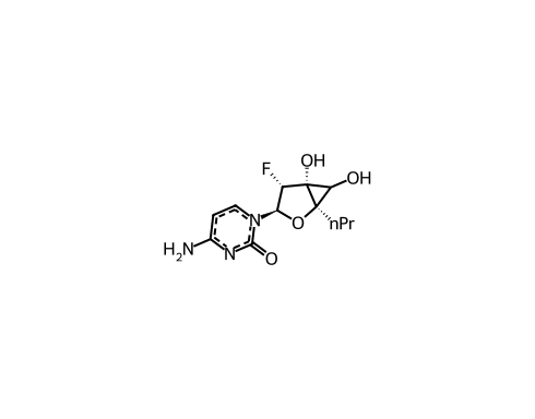 CCC[C@]12O[C@@H](n3ccc(N)nc3=O)[C@H](F)[C@@]1(O)C2O